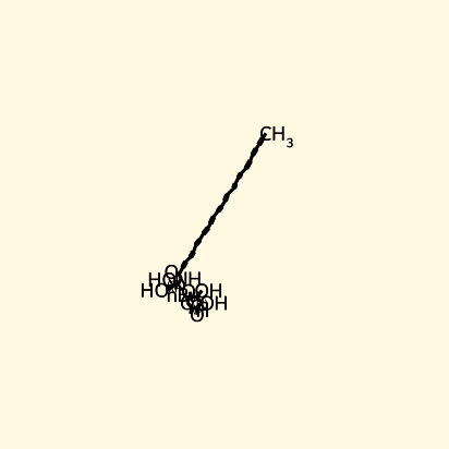 CC#CC#CC#CC#CC#CC#CC#CC#CC#CC#CC#CC#CC(=O)N[C@@H](CO[C@H]1OC2CO[C@@H]2[C@H](O)C1O)[C@H](O)[C@H](O)CCCC